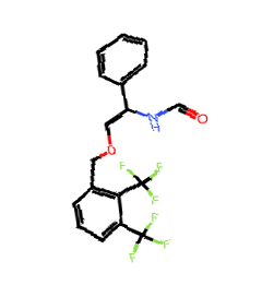 O=CNC(COCc1cccc(C(F)(F)F)c1C(F)(F)F)c1ccccc1